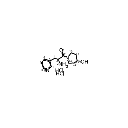 Cl.Cl.N[C@@H](Cc1cccnc1)C(=O)N1CCC(O)CC1